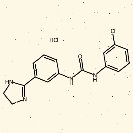 Cl.O=C(Nc1cccc(Cl)c1)Nc1cccc(C2=NCCN2)c1